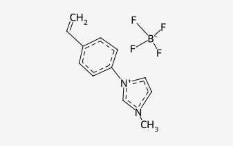 C=Cc1ccc(-[n+]2ccn(C)c2)cc1.F[B-](F)(F)F